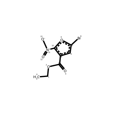 CCOC(=O)c1cc(Br)oc1[N+](=O)[O-]